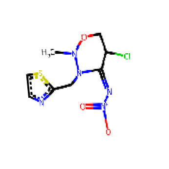 CN1OCC(Cl)C(=N[N+](=O)[O-])N1Cc1nccs1